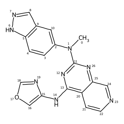 CN(c1ccc2[nH]ncc2c1)c1nc(Nc2cocn2)c2ccncc2n1